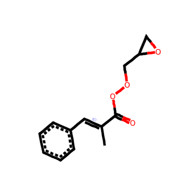 C/C(=C\c1ccccc1)C(=O)OOCC1CO1